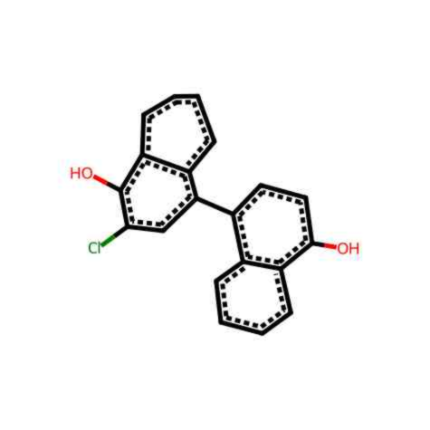 Oc1ccc(-c2cc(Cl)c(O)c3ccccc23)c2ccccc12